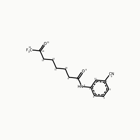 N#Cc1cccc(NC(=O)CCCCCC(=O)C(F)(F)F)c1